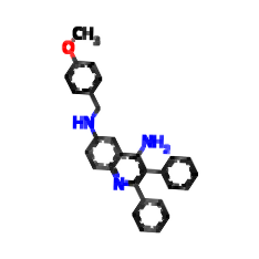 COc1ccc(CNc2ccc3nc(-c4ccccc4)c(-c4ccccc4)c(N)c3c2)cc1